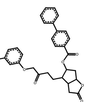 O=C(CCC1C(OC(=O)c2ccc(-c3ccccc3)cc2)CC2OC(=O)CC21)COc1cccc(Cl)c1